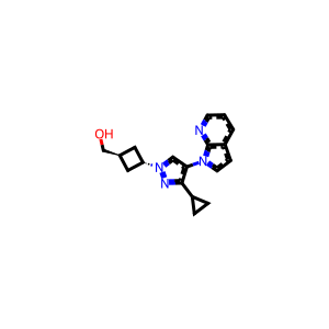 OC[C@H]1C[C@H](n2cc(-n3ccc4cccnc43)c(C3CC3)n2)C1